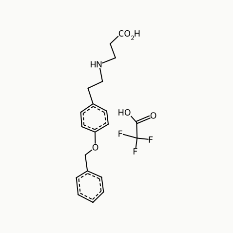 O=C(O)C(F)(F)F.O=C(O)CCNCCc1ccc(OCc2ccccc2)cc1